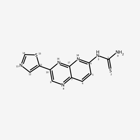 NC(=S)Nc1ccc2ncc(-c3cncs3)nc2n1